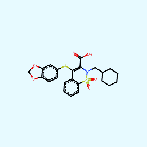 O=C(O)C1=C(Sc2ccc3c(c2)OCO3)c2ccccc2S(=O)(=O)N1CC1CCCCC1